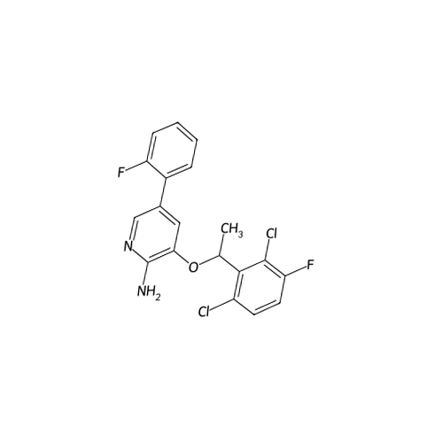 CC(Oc1cc(-c2ccccc2F)cnc1N)c1c(Cl)ccc(F)c1Cl